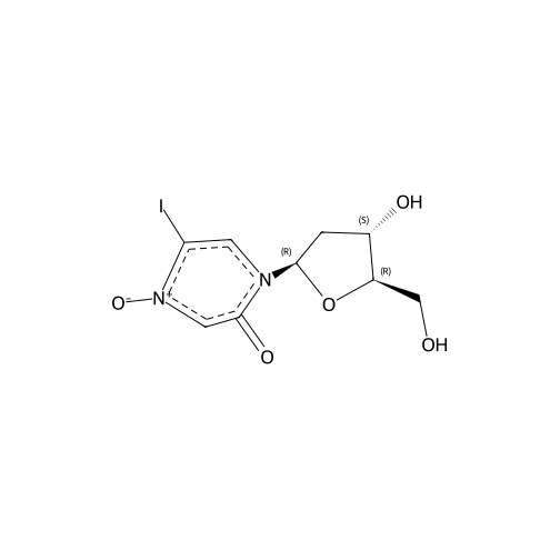 O=c1c[n+]([O-])c(I)cn1[C@H]1C[C@H](O)[C@@H](CO)O1